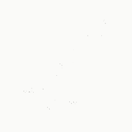 CNc1cc(NCCOCCO)cc(NC)c1[N+](=O)[O-]